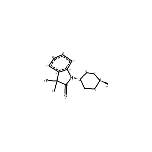 CC1(F)C(=O)N([C@H]2CC[C@H](C)CC2)c2ccccc21